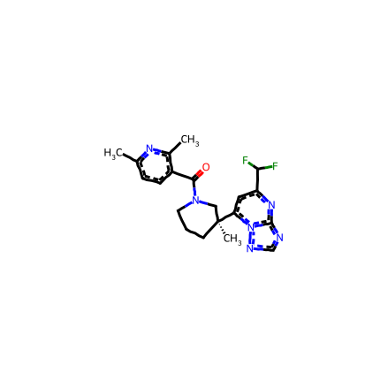 Cc1ccc(C(=O)N2CCC[C@](C)(c3cc(C(F)F)nc4ncnn34)C2)c(C)n1